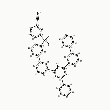 CC1(C)c2cc(C#N)ccc2-c2ccc(-c3cccc(-c4cc(-c5ccccc5)nc(-c5cccc(-c6ccccc6)c5)n4)c3)cc21